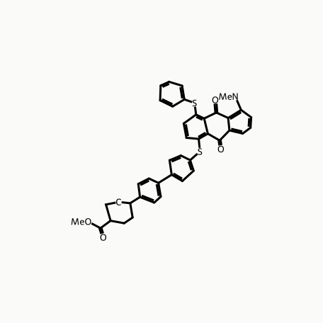 CNc1cccc2c1C(=O)c1c(Sc3ccccc3)ccc(Sc3ccc(-c4ccc(C5CCC(C(=O)OC)CC5)cc4)cc3)c1C2=O